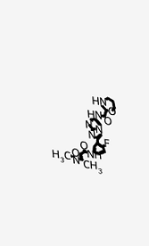 Cc1nc(C)c(C(=O)Nc2ccc(F)c(-c3cn4cc(NC(=O)C5CNCCCO5)cnc4n3)c2)o1